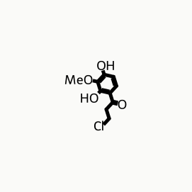 COc1c(O)ccc(C(=O)CCCl)c1O